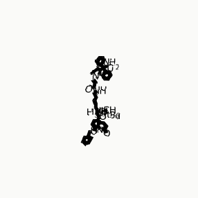 CC(C)(C)[Si](C)(C)OC(CNCCCCCNC(=O)CCN1CCC(C(C(N)=O)(c2ccccc2)c2ccccc2)C1)c1ccc(OCc2ccccc2)c2[nH]c(=O)ccc12